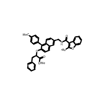 CCCCc1oc2ccccc2c1C(=O)NCc1ccc2c(-c3ccc(OC)cc3)c(OC(Cc3ccccc3)C(=O)OC)ccc2c1